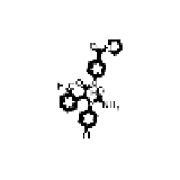 Cc1ccccc1C(C(=O)Nc1ccc(C(=O)N2CCCC2)cc1)N(C(N)=O)c1ccc(Cl)cc1